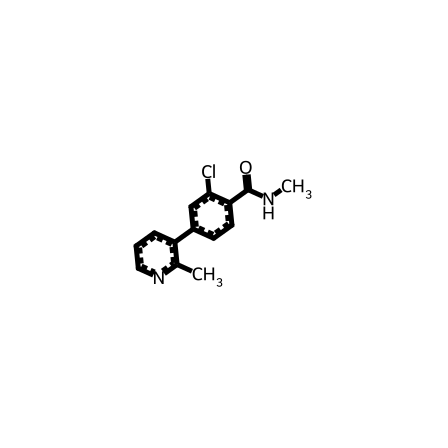 CNC(=O)c1ccc(-c2cccnc2C)cc1Cl